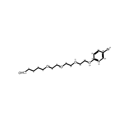 O=CCCCCOCCOCCOCCOc1ccc(Br)cn1